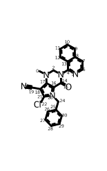 CN1CN(c2nccc3ccccc23)C(=O)c2c1c(C#N)c(Cl)n2Cc1ccccc1